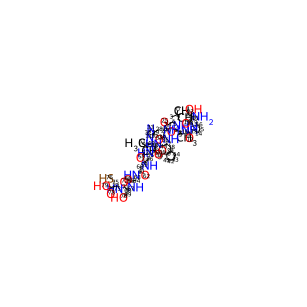 CC(C)C[C@H](NC(=O)[C@H](C)NC(=O)[C@@H]1CCCN1C(=O)[C@@H](N)CO)C(=O)N[C@@H](Cc1c[nH]cn1)C(=O)N[C@@H](Cc1ccccc1)C(=O)N[C@@H](CC(C)C)C(=O)NCC(=O)NCC(=O)NCC(=O)N[C@@H](CO)C(=O)N[C@@H](CS)C(=O)O